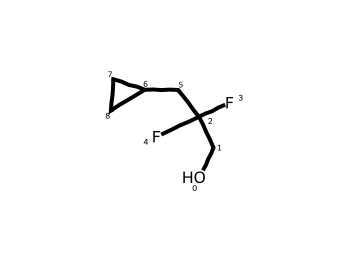 OCC(F)(F)CC1CC1